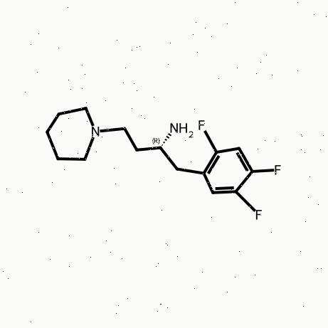 N[C@@H](CCN1CCCCC1)Cc1cc(F)c(F)cc1F